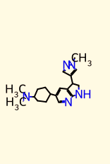 CN(C)C1CCC(c2cnc3c(c2)C(c2cnn(C)c2)CN3)CC1